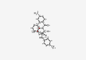 Cc1cnc(C(=O)N2C[C@@H]3CC[C@H]2[C@H](Nc2ccc(C(F)(F)F)cn2)C3)c(-c2ccccn2)c1